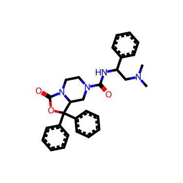 CN(C)CC(NC(=O)N1CCN2C(=O)OC(c3ccccc3)(c3ccccc3)C2C1)c1ccccc1